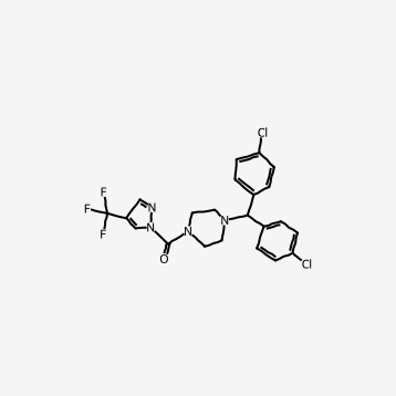 O=C(N1CCN(C(c2ccc(Cl)cc2)c2ccc(Cl)cc2)CC1)n1cc(C(F)(F)F)cn1